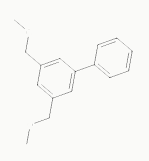 COCc1cc(COC)cc(-c2ccccc2)c1